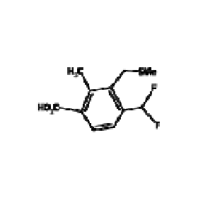 CSCc1c(C(F)F)ccc(C(=O)O)c1C